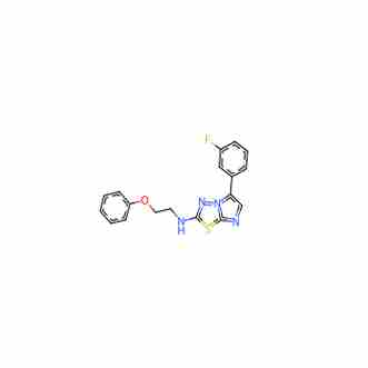 Fc1cccc(-c2cnc3sc(NCCOc4ccccc4)nn23)c1